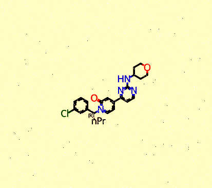 CCC[C@H](c1cccc(Cl)c1)n1ccc(-c2ccnc(NC3CCOCC3)n2)cc1=O